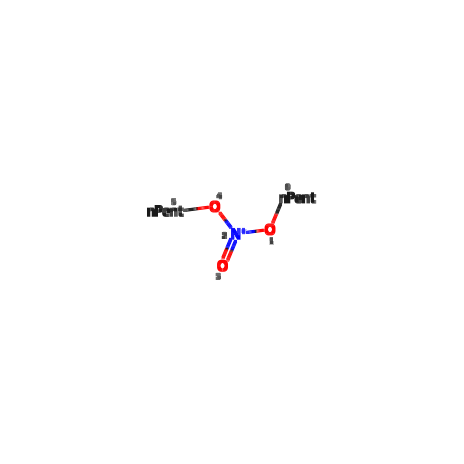 CCCCCO[N+](=O)OCCCCC